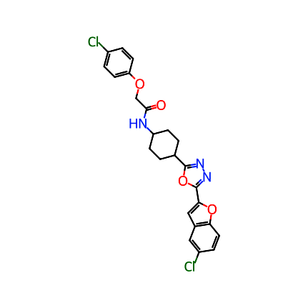 O=C(COc1ccc(Cl)cc1)NC1CCC(c2nnc(-c3cc4cc(Cl)ccc4o3)o2)CC1